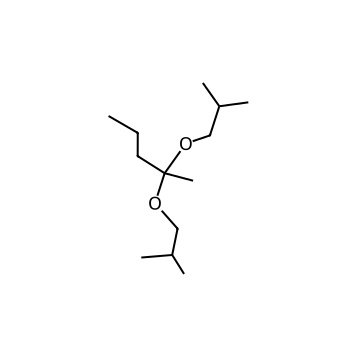 CCCC(C)(OCC(C)C)OCC(C)C